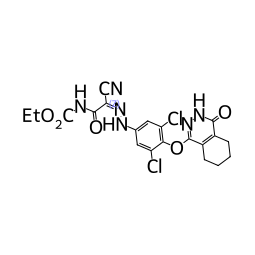 CCOC(=O)NC(=O)/C(C#N)=N\Nc1cc(Cl)c(Oc2n[nH]c(=O)c3c2CCCC3)c(Cl)c1